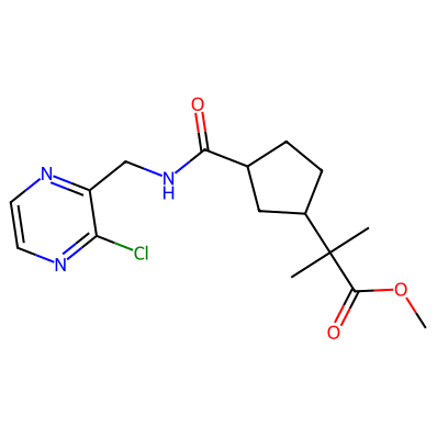 COC(=O)C(C)(C)C1CCC(C(=O)NCc2nccnc2Cl)C1